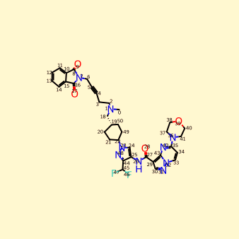 CN(CCC#CCN1C(=O)c2ccccc2C1=O)C[C@H]1CC[C@H](n2cc(NC(=O)c3cnn4ccc(N5CCOCC5)nc34)c(C(F)F)n2)CC1